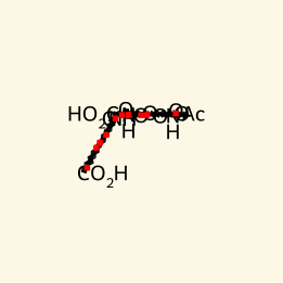 CC(=O)COCC(=O)NCCCOCCOCCOCCCNC(=O)CCC(NC(=O)CCCCCCCCCCCCCCCCCCC(=O)O)C(=O)O